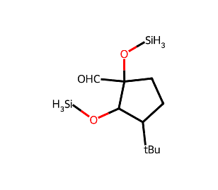 CC(C)(C)C1CCC(C=O)(O[SiH3])C1O[SiH3]